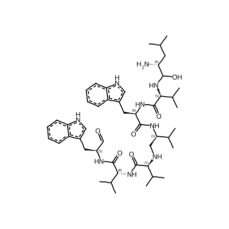 CC(C)C[C@@H](N)C(O)N[C@H](C(=O)N[C@H](Cc1c[nH]c2ccccc12)C(=O)N[C@H](CN[C@H](C(=O)N[C@@H](C(=O)N[C@H](C=O)Cc1c[nH]c2ccccc12)C(C)C)C(C)C)C(C)C)C(C)C